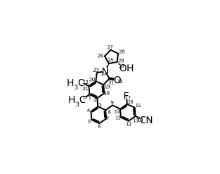 Cc1c(-c2ccccc2Cc2ccc(C#N)cc2F)cc2c(c1C)CN([C@H]1CCC[C@@H]1O)C2=O